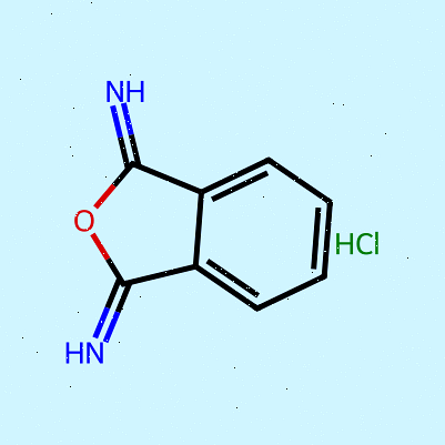 Cl.N=C1OC(=N)c2ccccc21